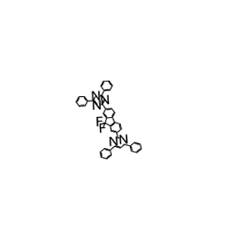 FC1(F)c2cc(-c3nc(-c4ccccc4)cc(-c4ccccc4)n3)ccc2-c2ccc(-c3nc(-c4ccccc4)nc(-c4ccccc4)n3)cc21